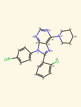 Clc1ccc(-n2c(-c3ccccc3Cl)nc3c(N4CC[CH]CC4)ncnc32)cc1